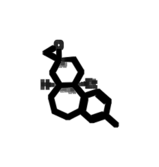 CC[C@@]12CC[C@]3(CO3)C[C@@H]1CCCc1cc(C)ccc12